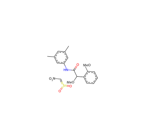 COc1ccccc1C(OC)C(=O)Nc1cc(C)cc(C)c1.O=[N+]([O-])C=S(=O)=O